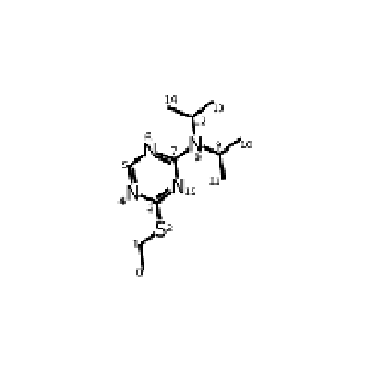 CCSc1ncnc(N(C(C)C)C(C)C)n1